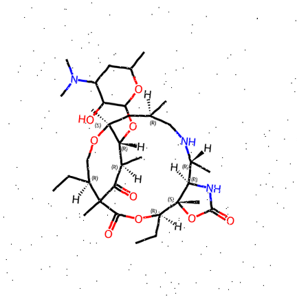 CC[C@H]1CO[C@@]2(C)C[C@@H](C)CN[C@H](C)[C@H]3NC(=O)O[C@]3(C)[C@@H](CC)OC(=O)C1(C)C(=O)[C@H](C)[C@H]2OC1OC(C)CC(N(C)C)C1O